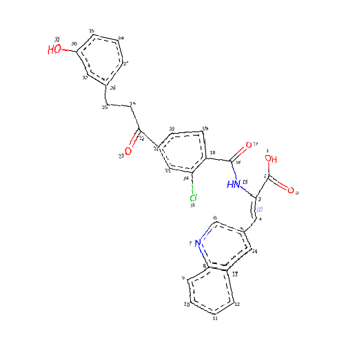 O=C(O)/C(=C/c1cnc2ccccc2c1)NC(=O)c1ccc(C(=O)CCc2cccc(O)c2)cc1Cl